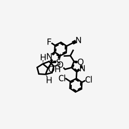 CC(C)c1onc(-c2c(Cl)cccc2Cl)c1CO[C@H]1C[C@H]2CC[C@@H](C1)[C@@]2(O)c1nc2c(F)cc(C#N)cc2s1